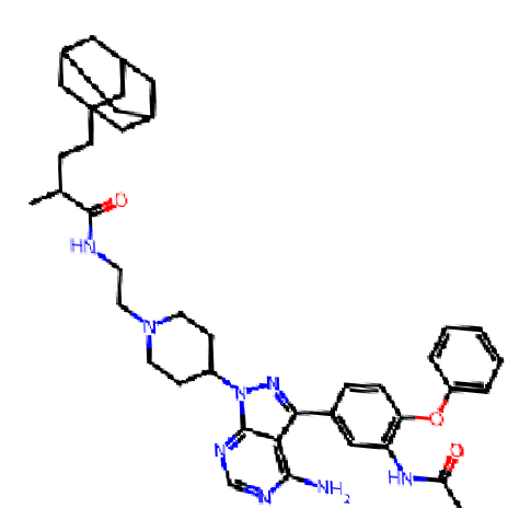 CCC(=O)Nc1cc(-c2nn(C3CCN(CCNC(=O)C(C)CCC45CC6CC(CC(C6)C4)C5)CC3)c3ncnc(N)c23)ccc1Oc1ccccc1